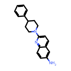 Nc1ccc2nc(N3CCC(c4ccccc4)CC3)ccc2c1